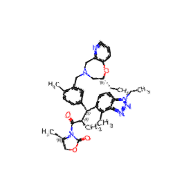 CC[C@@H]1CN(Cc2cc([C@@H](c3ccc4c(nnn4CC)c3C)[C@@H](C)C(=O)N3C(=O)OC[C@H]3C)ccc2C)Cc2ncccc2O1